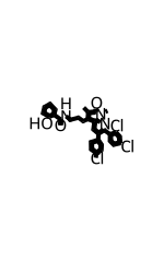 Cc1c(CCCNC(=O)c2ccccc2O)c2cc(-c3ccc(Cl)cc3)c(-c3ccc(Cl)cc3Cl)nc2n(C)c1=O